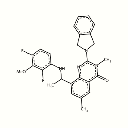 COc1c(F)ccc(NC(C)c2cc(C)cc3c(=O)n(C)c(N4Cc5ccccc5C4)nc23)c1F